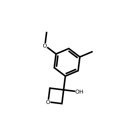 COc1cc(C)cc(C2(O)COC2)c1